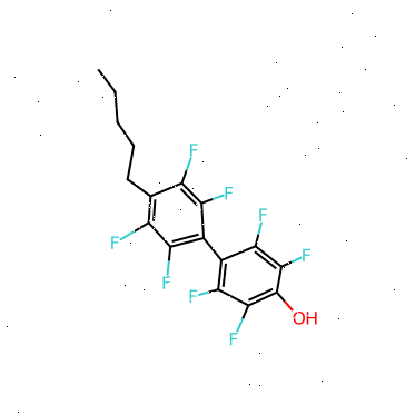 CCCCCc1c(F)c(F)c(-c2c(F)c(F)c(O)c(F)c2F)c(F)c1F